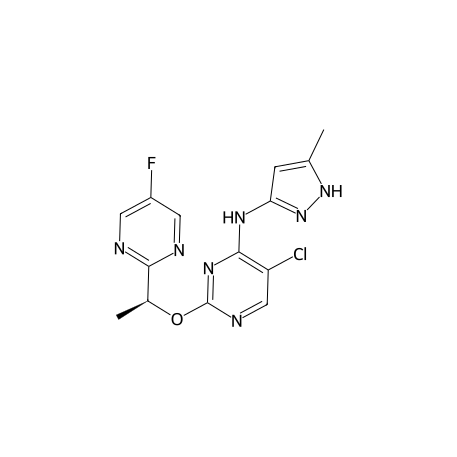 Cc1cc(Nc2nc(O[C@@H](C)c3ncc(F)cn3)ncc2Cl)n[nH]1